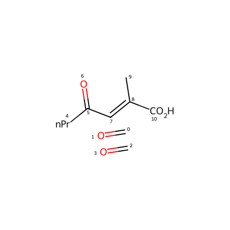 C=O.C=O.CCCC(=O)C=C(C)C(=O)O